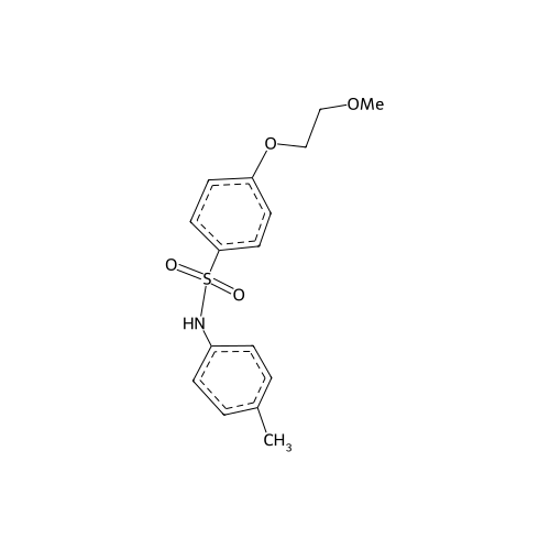 COCCOc1ccc(S(=O)(=O)Nc2ccc(C)cc2)cc1